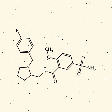 COc1ccc(S(N)(=O)=O)cc1C(=O)NCC1CCCN1Cc1ccc(F)cc1